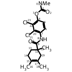 CNC(=O)Oc1ccc(NC(=O)C2(C)CCC(C)=C(C)C2)c(Cl)c1Cl